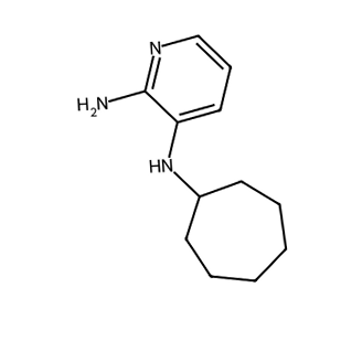 Nc1ncccc1NC1CCCCCC1